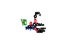 COC(=O)c1c(-c2cc(OC)c(OC)c(OC)c2)c2cc(OC)c(OCc3ccc([N+](=O)[O-])cc3)cc2c(=O)n1-c1ccc(N)cc1.Cl